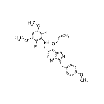 C=CCOc1c(CNc2c(F)c(OC)cc(OC)c2F)cnc2c1cnn2Cc1ccc(OC)cc1